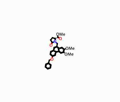 COC(=O)[C@H]1CCC(=O)N1Cc1cc2ccc(OCc3ccccc3)cc2c2cc(OC)c(OC)cc12